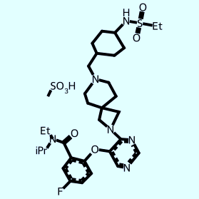 CCN(C(=O)c1cc(F)ccc1Oc1cncnc1N1CC2(CCN(CC3CCC(NS(=O)(=O)CC)CC3)CC2)C1)C(C)C.CS(=O)(=O)O